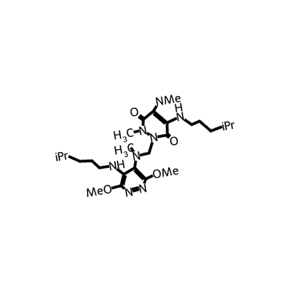 CNc1c(NCCCC(C)C)c(=O)n(CN(C)c2c(OC)nnc(OC)c2NCCCC(C)C)n(C)c1=O